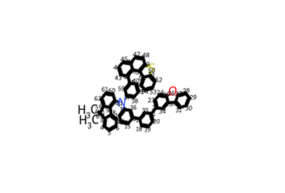 CC1(C)c2ccccc2-c2c(N(c3cccc(-c4cccc(-c5ccc6oc7ccccc7c6c5)c4)c3)c3cccc(-c4cccc5ccc6sc7ccccc7c6c45)c3)cccc21